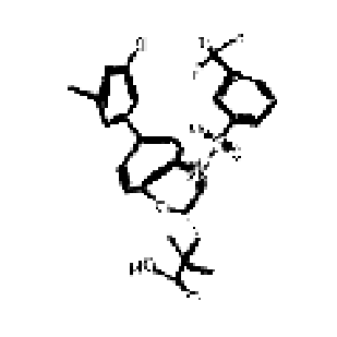 Cc1cc(Cl)cc(-c2ccc3c(c2)N(S(=O)(=O)c2cccc(C(F)(F)F)c2)C[C@H](CC(C)(C)C(=O)O)O3)c1